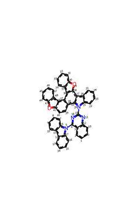 c1ccc2c(-n3c4ccccc4c4ccccc43)nc(-n3c4ccccc4c4c5oc6ccccc6c5c5c(ccc6oc7ccccc7c65)c43)nc2c1